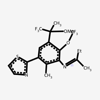 CC/C(C)=N\c1c(C)c(-c2nccs2)cc(C(C)(OC)C(F)(F)F)c1OC(F)(F)F